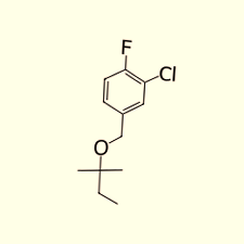 CCC(C)(C)OCc1ccc(F)c(Cl)c1